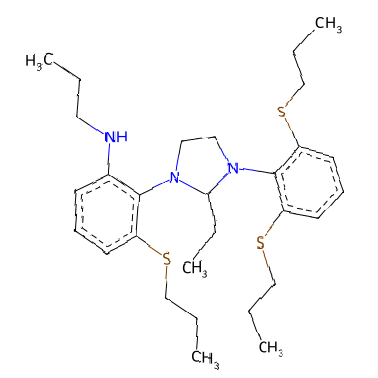 CCCNc1cccc(SCCC)c1N1CCN(c2c(SCCC)cccc2SCCC)C1CC